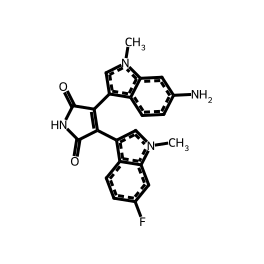 Cn1cc(C2=C(c3cn(C)c4cc(F)ccc34)C(=O)NC2=O)c2ccc(N)cc21